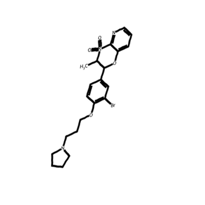 CC1C(c2ccc(OCCCN3CCCC3)c(Br)c2)Oc2cccnc2S1(=O)=O